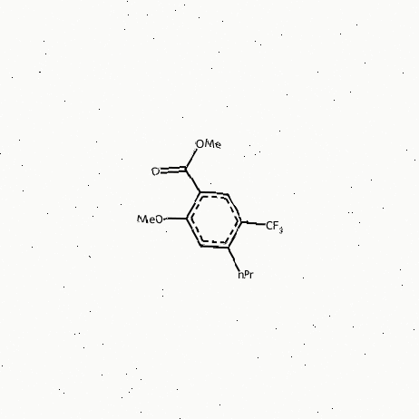 CCCc1cc(OC)c(C(=O)OC)cc1C(F)(F)F